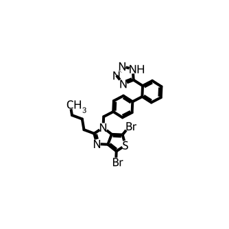 CCCCc1nc2c(Br)sc(Br)c2n1Cc1ccc(-c2ccccc2-c2nnn[nH]2)cc1